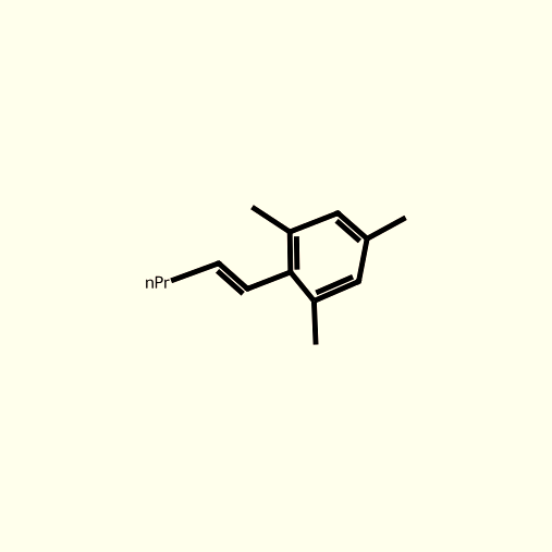 CCCC=Cc1c(C)cc(C)cc1C